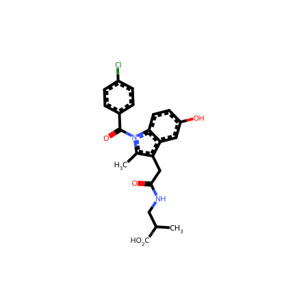 Cc1c(CC(=O)NCC(C)C(=O)O)c2cc(O)ccc2n1C(=O)c1ccc(Cl)cc1